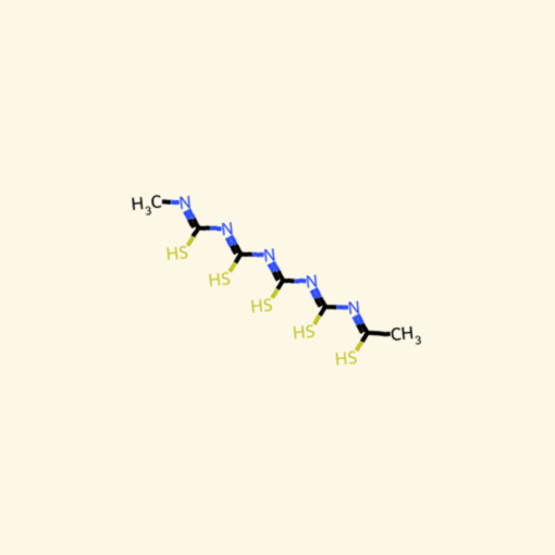 CN=C(S)/N=C(S)/N=C(S)/N=C(\S)N=C(C)S